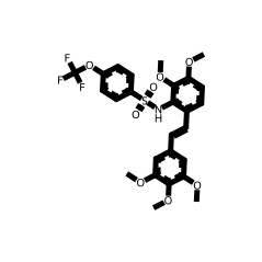 COc1cc(C=Cc2ccc(OC)c(OC)c2NS(=O)(=O)c2ccc(OC(F)(F)F)cc2)cc(OC)c1OC